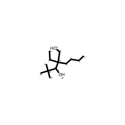 CCCCC(CC)(CO)C(O)C(C)(C)C